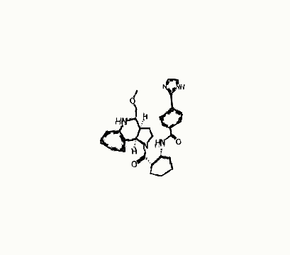 COC[C@@H]1Nc2ccccc2[C@H]2[C@@H]1CCN2C(=O)[C@H]1CCCC[C@H]1NC(=O)c1ccc(-c2ncc[nH]2)cc1